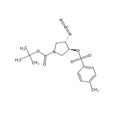 Cc1ccc(S(=O)(=O)O[C@H]2CN(C(=O)OC(C)(C)C)C[C@@H]2N=[N+]=[N-])cc1